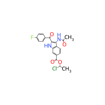 CC(=O)Nc1c(C(=O)c2ccc(F)cc2)[nH]c2cc(C(=O)OC(C)Cl)ccc12